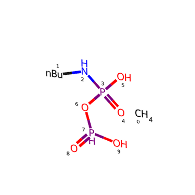 C.CCCCNP(=O)(O)O[PH](=O)O